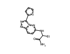 CCC(Nc1ccc2nnc(-c3cccs3)n2n1)C(N)=O